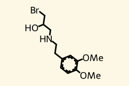 COc1ccc(CCNCC(O)CBr)cc1OC